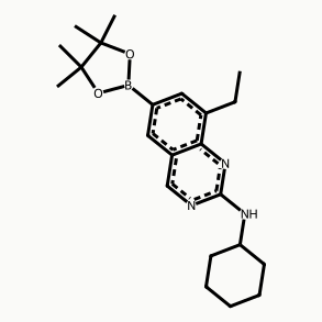 CCc1cc(B2OC(C)(C)C(C)(C)O2)cc2cnc(NC3CCCCC3)nc12